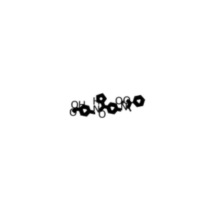 C[C@@H]1[C@H](c2ccccc2)OC(=O)N1Cc1ccc(C(C(=O)NCc2ccc(C(=O)O)cc2)C2CCCC2)cc1